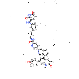 Cc1cc2c(-c3cccc4cc(-c5ccc(C(=O)NCC#Cc6cccc(NC7CCC(=O)NC7=O)c6)nc5)ncc34)cc(C3CCC(C)(O)CC3)cc2n(C)c1=O